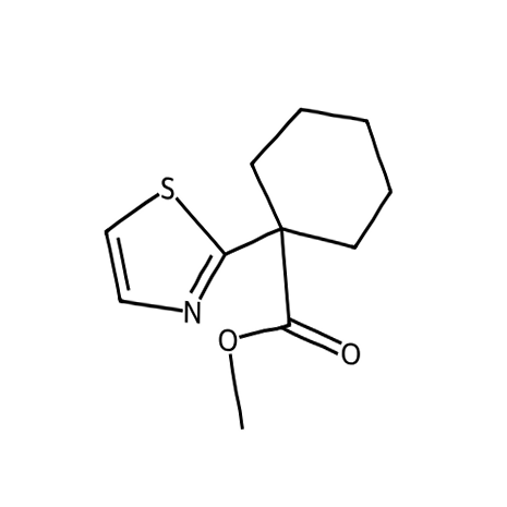 COC(=O)C1(c2nccs2)CCCCC1